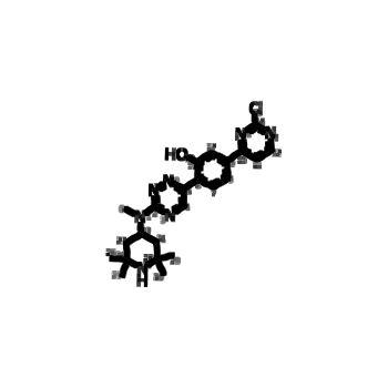 CN(c1ncc(-c2ccc(-c3ccnc(Cl)n3)cc2O)nn1)C1CC(C)(C)NC(C)(C)C1